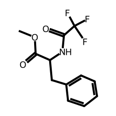 COC(=O)C(Cc1ccccc1)NC(=O)C(F)(F)F